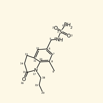 BS(=O)(=O)NCc1cc(C)c2c(c1)CCC(=O)N2CCC